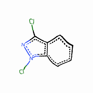 Clc1nn(Cl)c2ccccc12